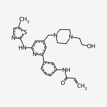 C=CC(=O)Nc1cccc(-c2cc(CN3CCN(CCO)CC3)cc(Nc3ncc(C)s3)n2)c1